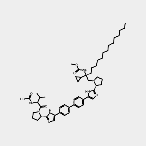 CCCCCCCCCCCCCC[C@](CN1CCC[C@H]1c1ncc(-c2ccc(-c3ccc(-c4cnc([C@@H]5CCCN5C(=O)[C@@H](NC(=O)O)C(C)C)[nH]4)cc3)cc2)[nH]1)(NC(=O)OC)C1CC1